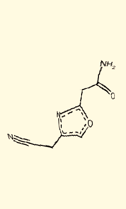 N#CCc1coc([CH]C(N)=O)n1